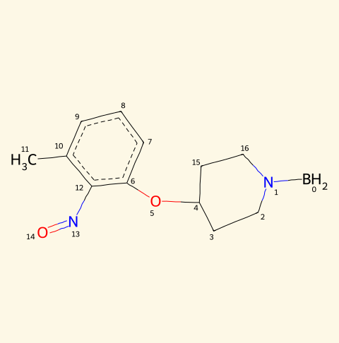 BN1CCC(Oc2cccc(C)c2N=O)CC1